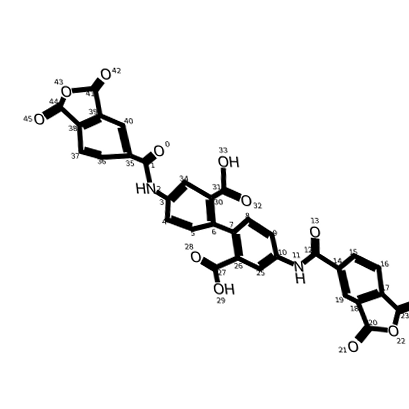 O=C(Nc1ccc(-c2ccc(NC(=O)c3ccc4c(c3)C(=O)OC4=O)cc2C(=O)O)c(C(=O)O)c1)c1ccc2c(c1)C(=O)OC2=O